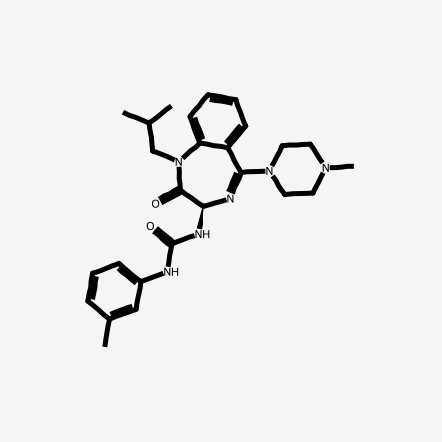 Cc1cccc(NC(=O)N[C@@H]2N=C(N3CCN(C)CC3)c3ccccc3N(CC(C)C)C2=O)c1